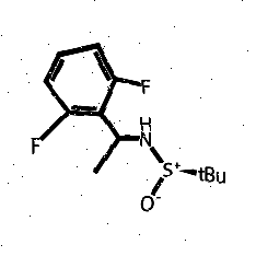 CC(N[S@+]([O-])C(C)(C)C)c1c(F)cccc1F